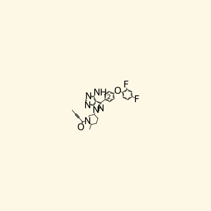 CC#CC(=O)N1CC(n2nc(-c3ccc(Oc4ccc(F)cc4F)cc3)c3c(N)ncnc32)CCC1C